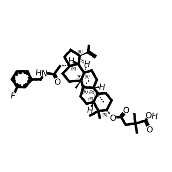 C=C(C)[C@@H]1CC[C@]2(CC(=O)NCc3cccc(F)c3)CC[C@]3(C)[C@H](CC[C@@H]4[C@@]5(C)CC[C@H](OC(=O)CC(C)(C)C(=O)O)C(C)(C)[C@@H]5CC[C@]43C)[C@@H]12